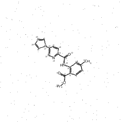 Cc1ccc(C(=O)OC(C)C)c(NC(=O)c2ccc(-n3ccnc3)nn2)c1